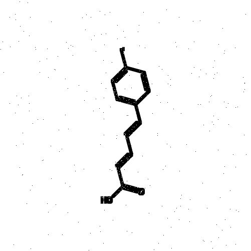 [CH]c1ccc(C=CC=CC(=O)O)cc1